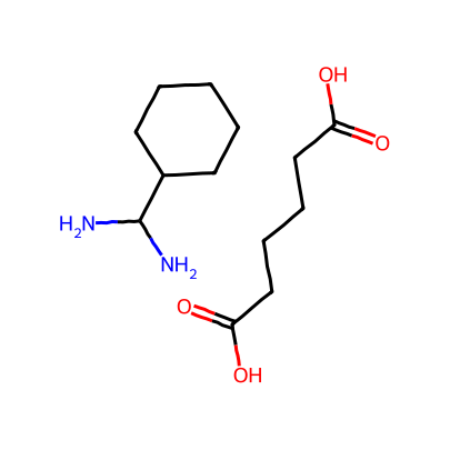 NC(N)C1CCCCC1.O=C(O)CCCCC(=O)O